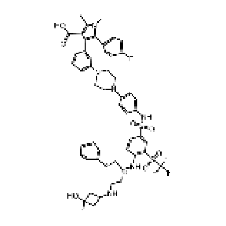 Cc1c(C(=O)O)c(-c2cccc(N3CCN(c4ccc(NS(=O)(=O)c5ccc(N[C@H](CCNC6CC(C)(O)C6)CSc6ccccc6)c(S(=O)(=O)C(F)(F)F)c5)cc4)CC3)c2)c(-c2ccc(F)cc2)n1C